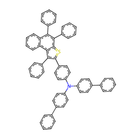 c1ccc(-c2ccc(N(c3ccc(-c4ccccc4)cc3)c3ccc(-c4sc5c(-c6ccccc6)c(-c6ccccc6)c6ccccc6c5c4-c4ccccc4)cc3)cc2)cc1